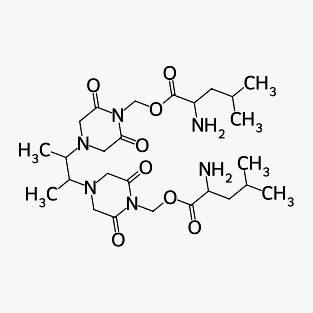 CC(C)CC(N)C(=O)OCN1C(=O)CN(C(C)C(C)N2CC(=O)N(COC(=O)C(N)CC(C)C)C(=O)C2)CC1=O